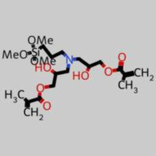 C=C(C)C(=O)OCC(O)CN(CCC[Si](OC)(OC)OC)CC(O)COC(=O)C(=C)C